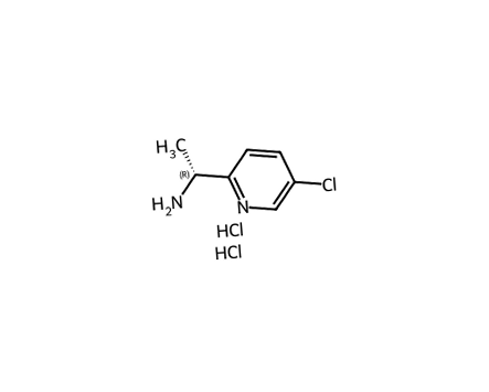 C[C@@H](N)c1ccc(Cl)cn1.Cl.Cl